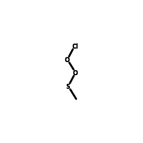 CSOOCl